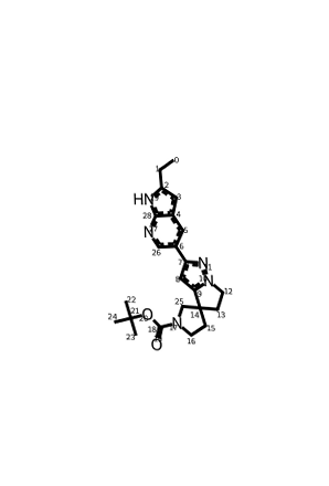 CCc1cc2cc(-c3cc4n(n3)CCC43CCN(C(=O)OC(C)(C)C)C3)cnc2[nH]1